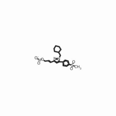 CS(=O)(=O)c1ccc(-c2cc(C=CCO[N+](=O)[O-])nn2CC2CCCCC2)cc1